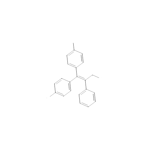 Oc1ccc(C(=C(CCl)c2ccccc2)c2ccc(O)cc2)cc1